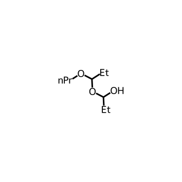 CCCOC(CC)OC(O)CC